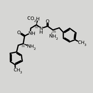 Cc1ccc(C[C@H](N)C(=O)NC[C@H](NC(=O)[C@@H](N)Cc2ccc(C)cc2)C(=O)O)cc1